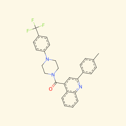 Cc1ccc(-c2cc(C(=O)N3CCN(c4ccc(C(F)(F)F)cc4)CC3)c3ccccc3n2)cc1